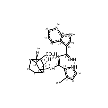 N=C(/N=C(/N[C@H]1C2CCC(CC2)[C@@H]1C(=O)O)c1[nH]ccc1F)c1c[nH]c2ncccc12